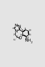 C[C@@H]1Cn2cnnc2-c2cccc(N)c2O1